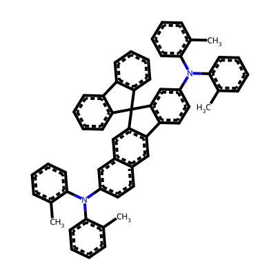 Cc1ccccc1N(c1ccc2c(c1)C1(c3ccccc3-c3ccccc31)c1cc3cc(N(c4ccccc4C)c4ccccc4C)ccc3cc1-2)c1ccccc1C